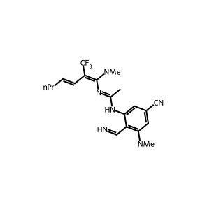 CCC/C=C/C(=C(\N=C(/C)Nc1cc(C#N)cc(NC)c1C=N)NC)C(F)(F)F